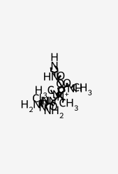 CCNC(=O)c1cc2c(cc1OCC(=O)NC1CCNCC1)n(CC)c(CNC(=O)c1nc(Cl)c(N)nc1N)[n+]2CC